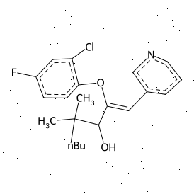 CCCCC(C)(C)C(O)C(=Cc1cccnc1)Oc1ccc(F)cc1Cl